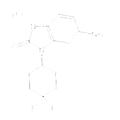 Cn1c(=O)n(C2CCC(F)(F)CC2)c2cc(N)ccc21